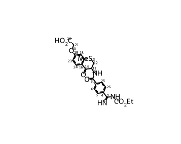 CCOC(=O)NC(=N)c1ccc(C(=O)NC(CSC)C(=O)c2ccc(OCC(=O)O)cc2)cc1